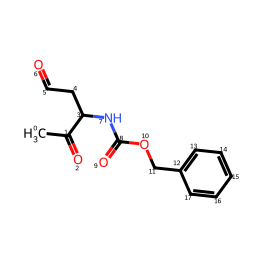 CC(=O)C(CC=O)NC(=O)OCc1ccccc1